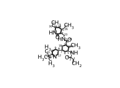 C=CC(=O)Nc1cc(-c2ccc(C(C)(C)C)nc2)cc(C(=O)NCc2c(CC)cc(CC)[nH]c2=O)c1C